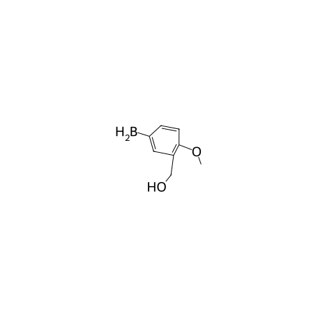 Bc1ccc(OC)c(CO)c1